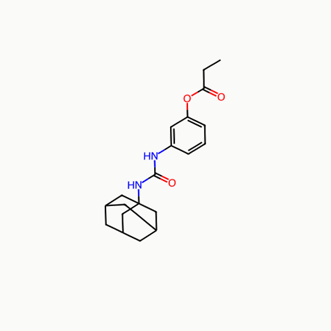 CCC(=O)Oc1cccc(NC(=O)NC23CC4CC(CC(C4)C2)C3)c1